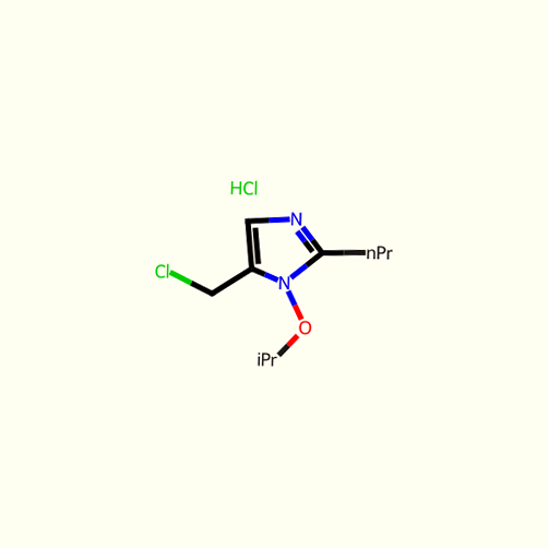 CCCc1ncc(CCl)n1OC(C)C.Cl